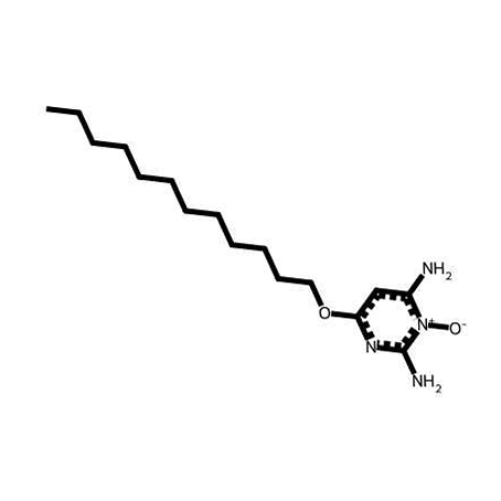 CCCCCCCCCCCCOc1cc(N)[n+]([O-])c(N)n1